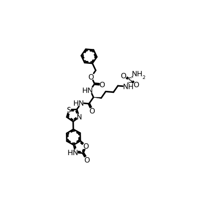 NS(=O)(=O)NCCCC[C@H](NC(=O)OCc1ccccc1)C(=O)Nc1nc(-c2ccc3[nH]c(=O)oc3c2)cs1